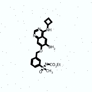 Bc1cc2c(NC3CCC3)ncnc2cc1OCc1cccc(S(C)(=O)=NC(=O)OCC)c1